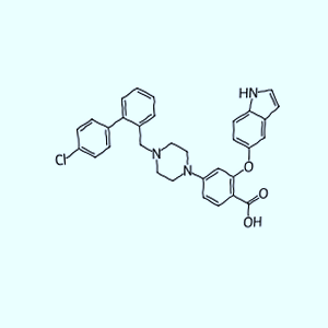 O=C(O)c1ccc(N2CCN(Cc3ccccc3-c3ccc(Cl)cc3)CC2)cc1Oc1ccc2[nH]ccc2c1